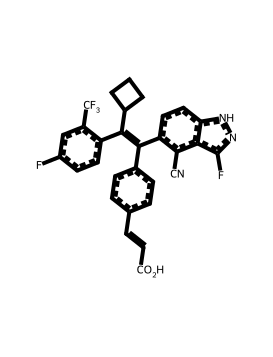 N#Cc1c(C(=C(c2ccc(F)cc2C(F)(F)F)C2CCC2)c2ccc(C=CC(=O)O)cc2)ccc2[nH]nc(F)c12